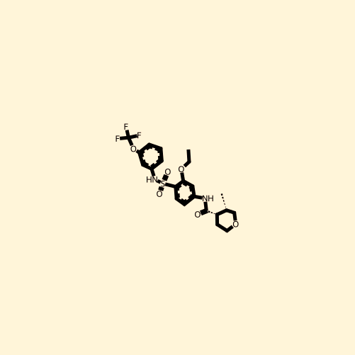 CCOc1cc(NC(=O)[C@H]2CCOC[C@H]2C)ccc1S(=O)(=O)Nc1cccc(OC(F)(F)F)c1